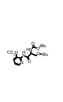 CC(C)(C)OCC(NC(=O)OC(C)(C)C)C(=O)Nc1ncccc1C(=O)O